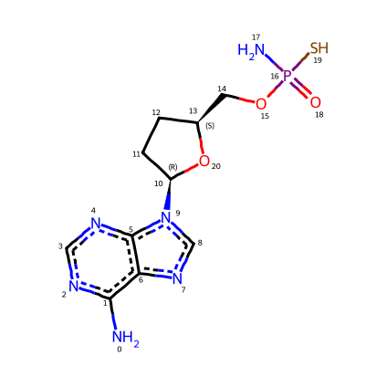 Nc1ncnc2c1ncn2[C@H]1CC[C@@H](COP(N)(=O)S)O1